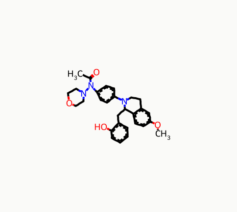 COc1ccc2c(c1)CCN(c1ccc(N(C(C)=O)N3CCOCC3)cc1)C2Cc1ccccc1O